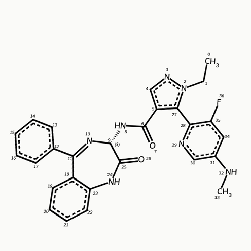 CCn1ncc(C(=O)N[C@H]2N=C(c3ccccc3)c3ccccc3NC2=O)c1-c1ncc(NC)cc1F